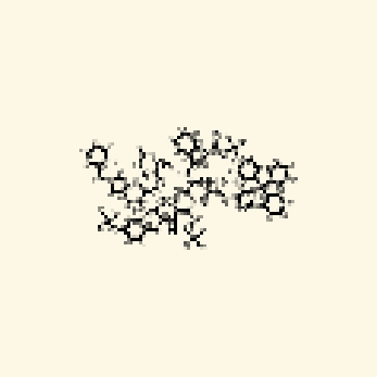 COC(=O)[C@H](CC(C)C)NC(=O)[C@@H](Cc1cn(Cc2ccccc2)cn1)NC(=O)[C@H](Cc1ccc(OC(C)(C)C)cc1)NC(=O)[C@H](COC(C)(C)C)NC(=O)[C@H](Cc1cn(C(=O)OC(C)(C)C)c2ccccc12)NC(=O)[C@@H](N)Cc1cn(C(c2ccccc2)(c2ccccc2)c2ccccc2)cn1